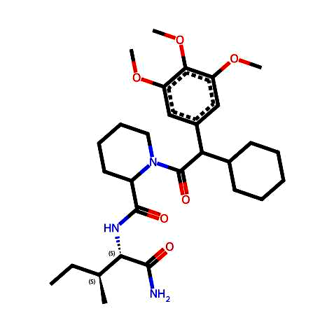 CC[C@H](C)[C@H](NC(=O)C1CCCCN1C(=O)C(c1cc(OC)c(OC)c(OC)c1)C1CCCCC1)C(N)=O